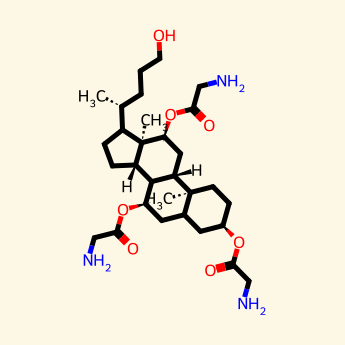 C[C@H](CCCO)C1CC[C@H]2C3[C@H](OC(=O)CN)CC4C[C@H](OC(=O)CN)CC[C@]4(C)[C@H]3C[C@H](OC(=O)CN)[C@]12C